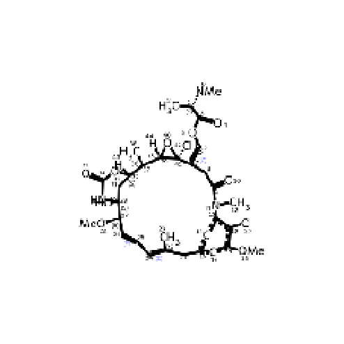 CN[C@@H](C)C(=O)O/C=C1/CC(=O)N(C)c2cc(cc(OC)c2Cl)C/C(C)=C/C=C/[C@@H](OC)[C@@]2(O)C[C@H](OC(=O)N2)[C@@H](C)[C@@H]2O[C@@]12C